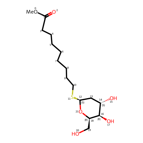 COC(=O)CCCCCCCCS[C@H]1C[C@H](O)[C@@H](O)[C@@H](CO)O1